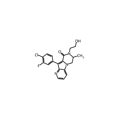 CC1Cn2c(c(-c3ccc(Cl)c(F)c3)c3ncccc32)C(=O)N1CCO